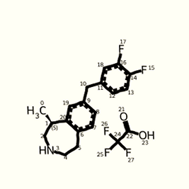 C[C@@H]1CNCCc2ccc(Cc3ccc(F)c(F)c3)cc21.O=C(O)C(F)(F)F